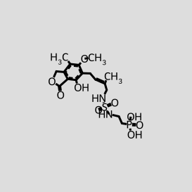 COc1c(C)c2c(c(O)c1C/C=C(\C)CNS(=O)(=O)NCCP(=O)(O)O)C(=O)OC2